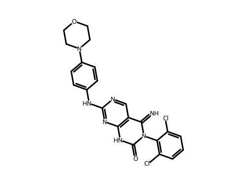 N=c1c2cnc(Nc3ccc(N4CCOCC4)cc3)nc2[nH]c(=O)n1-c1c(Cl)cccc1Cl